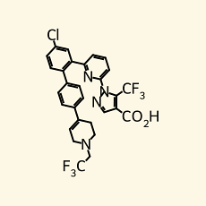 O=C(O)c1cnn(-c2cccc(-c3cc(Cl)ccc3-c3ccc(C4=CCN(CC(F)(F)F)CC4)cc3)n2)c1C(F)(F)F